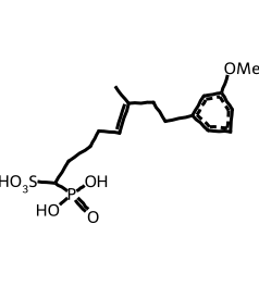 COc1cccc(CCC(C)=CCCCC(P(=O)(O)O)S(=O)(=O)O)c1